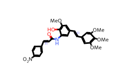 COc1cc(/C=C/c2cc(OC)c(OC)c(OC)c2)cc(NC(=O)/C=C/c2ccc([N+](=O)[O-])cc2)c1O